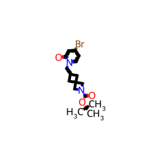 CC(C)(C)OC(=O)N1CC2(CC(=Cn3ccc(Br)cc3=O)C2)C1